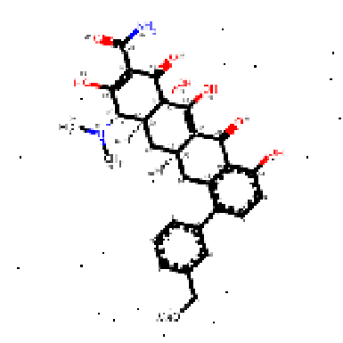 COCc1cccc(-c2ccc(O)c3c2C[C@H]2C[C@H]4[C@H](N(C)C)C(O)=C(C(N)=O)C(=O)[C@@]4(O)C(O)=C2C3=O)c1